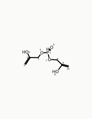 C=C(O)CO[PH](=O)OCC(=C)O